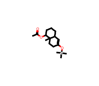 CC(=O)OC1CCCC2C=C(O[Si](C)(C)C)CCC21C